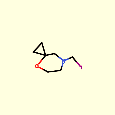 ICN1CCOC2(CC2)C1